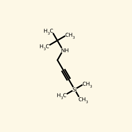 CC(C)(C)NCC#C[Si](C)(C)C